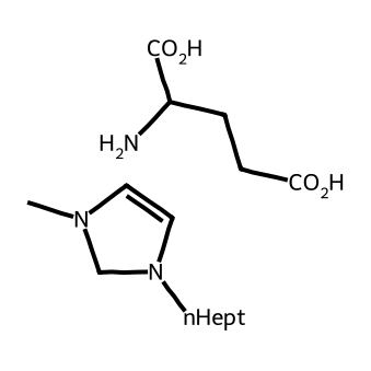 CCCCCCCN1C=CN(C)C1.NC(CCC(=O)O)C(=O)O